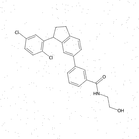 O=C(NCCO)c1cccc(-c2ccc3c(c2)C(c2cc(Cl)ccc2Cl)CC3)c1